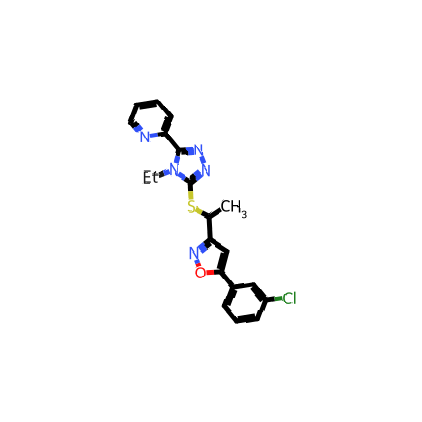 CCn1c(SC(C)c2cc(-c3cccc(Cl)c3)on2)nnc1-c1ccccn1